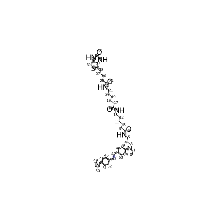 CCN(CCCNC(=O)CCCCCNC(=O)CCCCCNC(=O)CCCC[C@@H]1SCC2NC(=O)NC21)c1ccc(/C=C/c2ccc(N(C)C)cc2)cc1